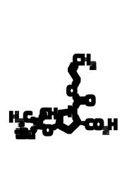 C=CCOC(=O)N1C[C@H](O[Si](C)(C)C(C)(C)C)C[C@H]1C(=O)O